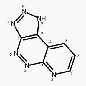 c1cnc2nnc3nn[nH]c3c2c1